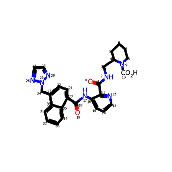 O=C(NCC1CCCCN1C(=O)O)c1ncccc1NC(=O)c1ccc(Cn2nccn2)c2ccccc12